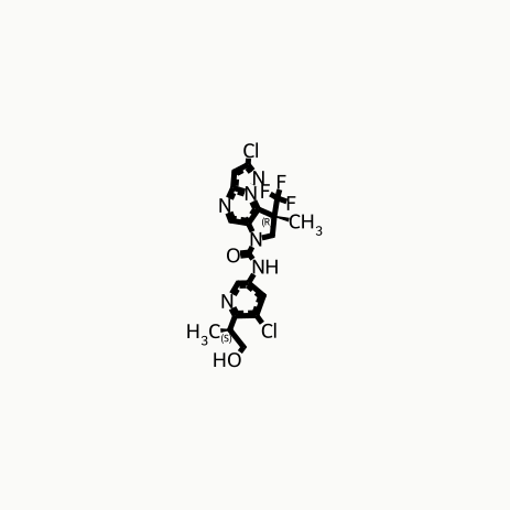 C[C@H](CO)c1ncc(NC(=O)N2C[C@@](C)(C(F)(F)F)c3c2cnc2cc(Cl)nn32)cc1Cl